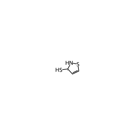 S[C]1C=CSN1